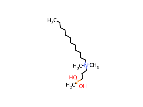 C=P(O)(O)CCC[N+](C)(C)CCCCCCCCCCCC